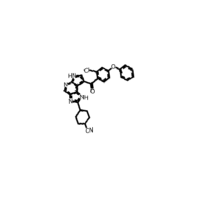 N#CC1CCC(c2nc3cnc4[nH]cc(C(=O)c5ccc(Oc6ccccc6)cc5Cl)c4c3[nH]2)CC1